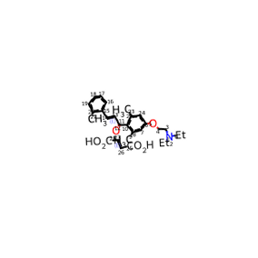 CCN(CC)CCOc1cc(C)c(C(=O)/C=C/c2ccccc2C)c(C)c1.O=C(O)/C=C/C(=O)O